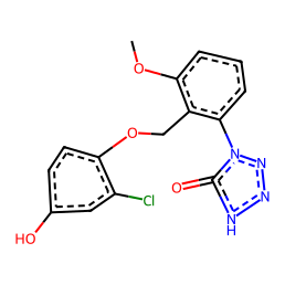 COc1cccc(-n2nn[nH]c2=O)c1COc1ccc(O)cc1Cl